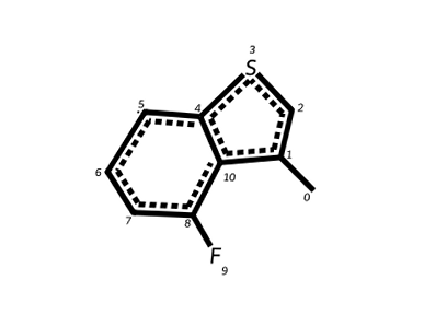 Cc1csc2[c]ccc(F)c12